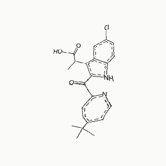 CC(C(=O)O)c1c(C(=O)c2cc(C(C)(C)C)ccn2)[nH]c2ccc(Cl)cc12